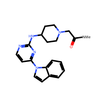 CNC(=O)CN1CCC(Nc2nccc(-n3ccc4ccccc43)n2)CC1